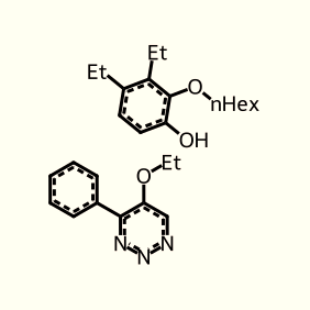 CCCCCCOc1c(O)ccc(CC)c1CC.CCOc1cnnnc1-c1ccccc1